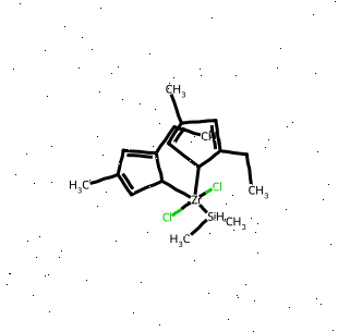 CCC1=CC(C)=C[CH]1[Zr]([Cl])([Cl])([CH]1C=C(C)C=C1CC)[SiH](C)C